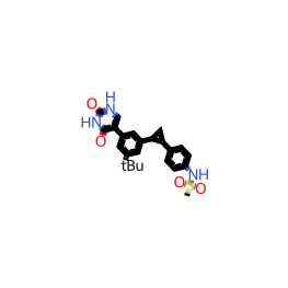 CC(C)(C)c1cc(-c2c[nH]c(=O)[nH]c2=O)cc(C2CC2c2ccc(NS(C)(=O)=O)cc2)c1